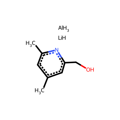 Cc1cc(C)nc(CO)c1.[AlH3].[LiH]